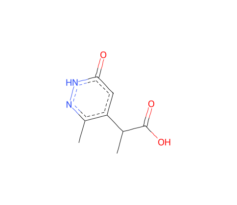 Cc1n[nH]c(=O)cc1C(C)C(=O)O